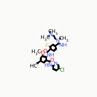 C#Cc1cc(OC)c(NC(=O)c2ccc(C(=N)N(C)CCN(C)C)cc2F)c(C(=O)Nc2ccc(Cl)cn2)c1